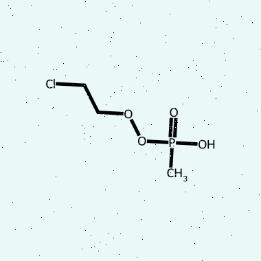 CP(=O)(O)OOCCCl